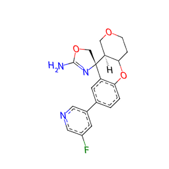 NC1=N[C@@]2(CO1)c1cc(-c3cncc(F)c3)ccc1OC1CCOC[C@@H]12